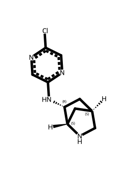 Clc1cnc(N[C@@H]2C[C@H]3CN[C@H]2C3)cn1